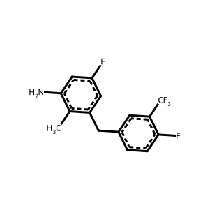 Cc1c(N)cc(F)cc1Cc1ccc(F)c(C(F)(F)F)c1